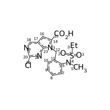 CCS(=O)(=O)N(C)c1ccccc1Cn1c(C(=O)O)cc2cnc(Cl)nc21